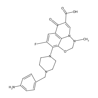 CN1COc2c(N3CCN(Cc4ccc(N)cc4)CC3)c(F)cc3c(=O)c(C(=O)O)cn1c23